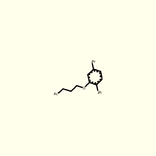 CC(=O)CCCOc1cc(C(C)C)ccc1C(C)C